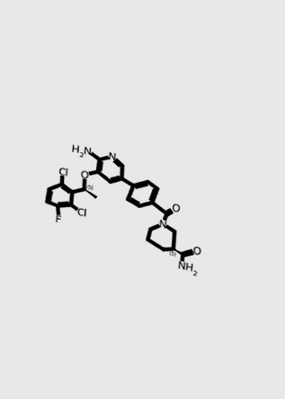 C[C@H](Oc1cc(-c2ccc(C(=O)N3CCC[C@H](C(N)=O)C3)cc2)cnc1N)c1c(Cl)ccc(F)c1Cl